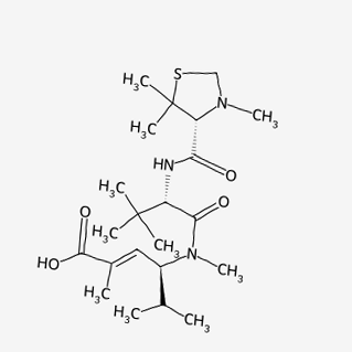 C/C(=C\[C@H](C(C)C)N(C)C(=O)[C@@H](NC(=O)[C@H]1N(C)CSC1(C)C)C(C)(C)C)C(=O)O